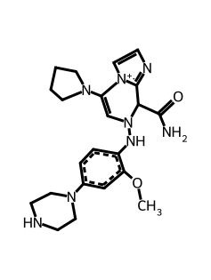 COc1cc(N2CCNCC2)ccc1NN1C=C(N2CCCC2)[N+]2C=CN=C2C1C(N)=O